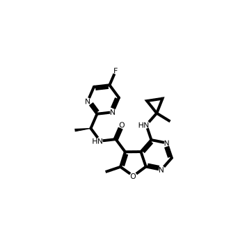 Cc1oc2ncnc(NC3(C)CC3)c2c1C(=O)N[C@@H](C)c1ncc(F)cn1